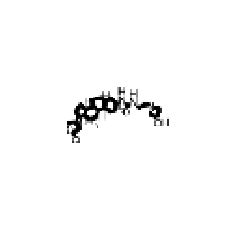 C[C@]12CC[C@H](NC(=O)NCCN3CCC(O)C3)C[C@H]1CC[C@H]1C3=CC[C@H](C4=CC(=O)OC4)[C@@]3(C)CC[C@@H]12